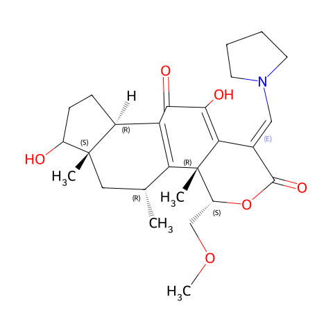 COC[C@H]1OC(=O)/C(=C/N2CCCC2)C2=C(O)C(=O)C3=C([C@H](C)C[C@]4(C)C(O)CC[C@@H]34)[C@]21C